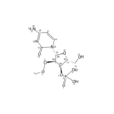 COO[C@@H]1[C@H](OP(=O)(O)O)[C@@H](CO)O[C@H]1n1ccc(N)nc1=O